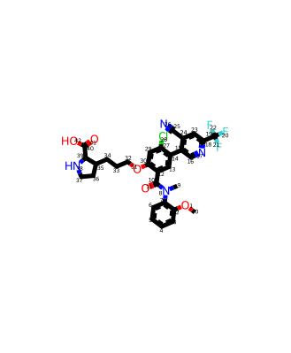 COc1ccccc1N(C)C(=O)c1cc(-c2cnc(C(F)(F)F)cc2C#N)c(Cl)cc1OCCCC1CCNC1C(=O)O